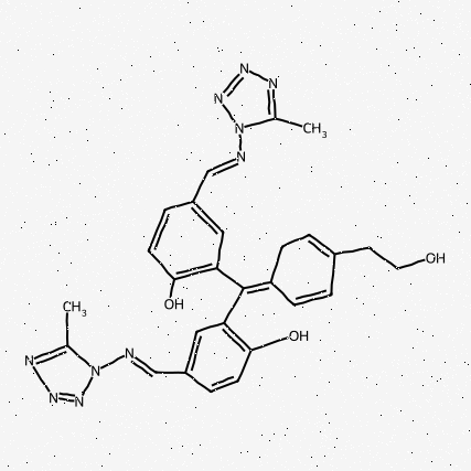 Cc1nnnn1N=Cc1ccc(O)c(C(=C2C=CC(CCO)=CC2)c2cc(C=Nn3nnnc3C)ccc2O)c1